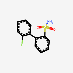 NS(=O)(=O)c1ccccc1-c1ccccc1F